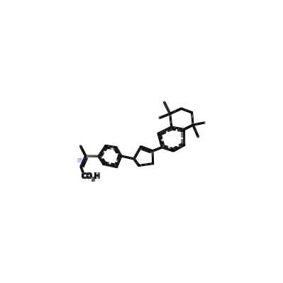 C/C(=C/C(=O)O)c1ccc(C2C=C(c3ccc4c(c3)C(C)(C)CCC4(C)C)CC2)cc1